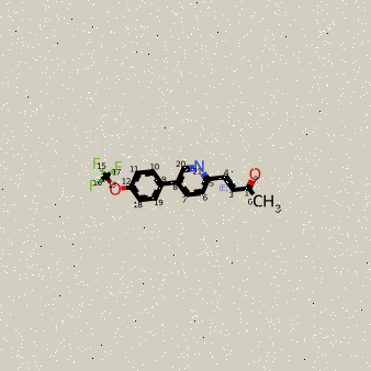 CC(=O)/C=C/c1ccc(-c2ccc(OC(F)(F)F)cc2)cn1